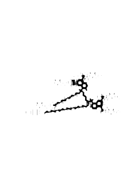 COCCOCCOCCOCCC(C)(C/C=C/C=C1/N(CCOCCOCCOCCOCCOCCC=O)c2ccc3c(S(=O)(=O)OC)cc(S(=O)(=O)OC)cc3c2C1(C)C)c1c(C)ccc2c(S(=O)(=O)OC)cc(S(=O)(=O)OC)cc12